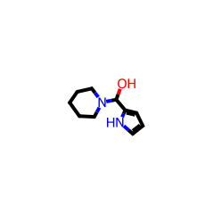 OC(c1ccc[nH]1)N1CCCCC1